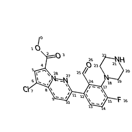 COC(=O)c1cc(Cl)c2ccc(-c3ccc(F)c(N4CCNCC4)c3C=O)nn12